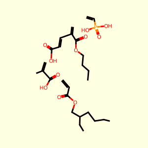 C=C(C)C(=O)O.C=C(C=CC(=O)O)C(=O)OCCCC.C=CC(=O)OCC(CC)CCCC.C=CP(=O)(O)O